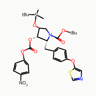 CC(C)(C)OC(=O)N1C[C@H](O[Si](C)(C)C(C)(C)C)[C@@H](OC(=O)Oc2ccc([N+](=O)[O-])cc2)[C@H]1Cc1ccc(Oc2cncs2)cc1